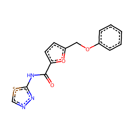 O=C(Nc1nncs1)c1ccc(COc2ccccc2)o1